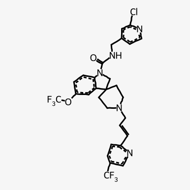 O=C(NCc1ccnc(Cl)c1)N1CC2(CCN(CC=Cc3ccc(C(F)(F)F)cn3)CC2)c2cc(OC(F)(F)F)ccc21